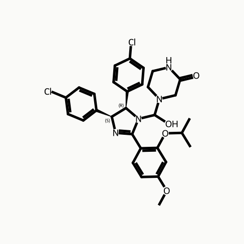 COc1ccc(C2=N[C@@H](c3ccc(Cl)cc3)[C@@H](c3ccc(Cl)cc3)N2C(O)N2CCNC(=O)C2)c(OC(C)C)c1